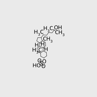 C[C@H](CCCC(C)(C)O)C1CC[C@H]2[C@@H]3CC=C4C[C@@H](OS(=O)(=O)O)CC[C@]4(C)[C@H]3CC[C@]12C